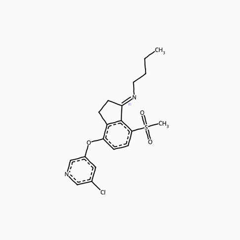 CCCC/N=C1\CCc2c(Oc3cncc(Cl)c3)ccc(S(C)(=O)=O)c21